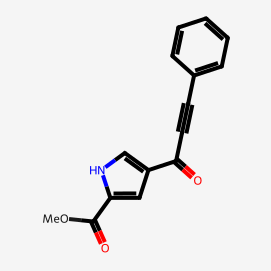 COC(=O)c1cc(C(=O)C#Cc2ccccc2)c[nH]1